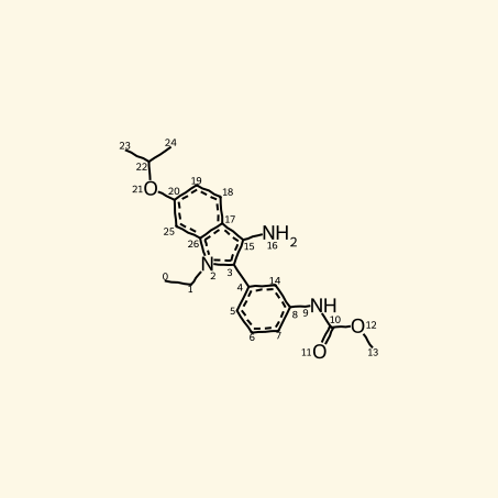 CCn1c(-c2cccc(NC(=O)OC)c2)c(N)c2ccc(OC(C)C)cc21